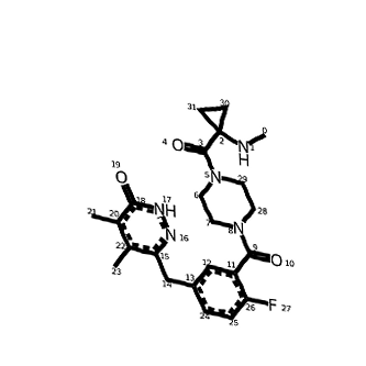 CNC1(C(=O)N2CCN(C(=O)c3cc(Cc4n[nH]c(=O)c(C)c4C)ccc3F)CC2)CC1